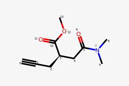 C#CC[C@H](CC(=O)N(C)C)C(=O)OC